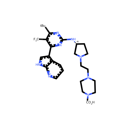 CC(C)(C)c1nc(N[C@@H]2CCN(CCN3CCN(C(=O)O)CC3)C2)nc(-c2c[nH]c3ncccc23)c1C(F)(F)F